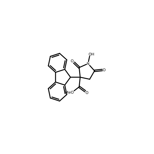 COC(=O)C1(C2c3ccccc3-c3ccccc32)CC(=O)N(O)C1=O